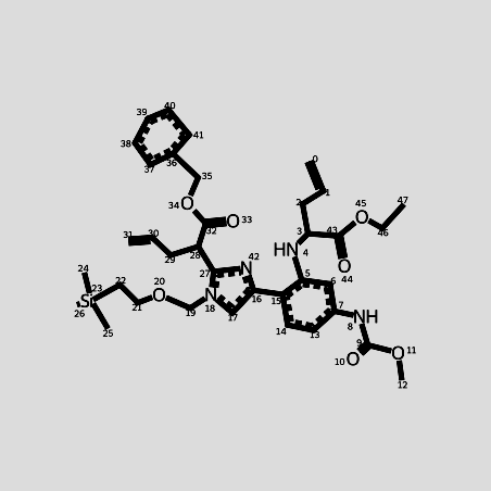 C=CCC(Nc1cc(NC(=O)OC)ccc1-c1cn(COCC[Si](C)(C)C)c(C(CC=C)C(=O)OCc2ccccc2)n1)C(=O)OCC